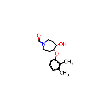 Cc1cccc(O[C@@H]2CCN(C=O)CC[C@H]2O)c1C